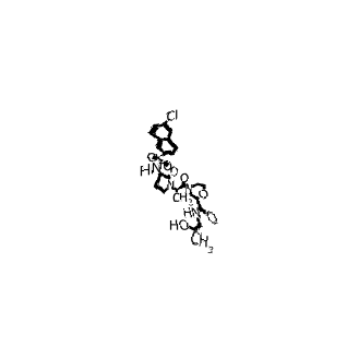 CC(O)CNC(=O)C1CN(C(=O)C(C)N2CCC(NS(=O)(=O)c3ccc4cc(Cl)ccc4c3)C2=O)CCO1